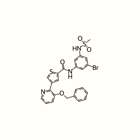 CS(=O)(=O)Nc1cc(Br)cc(NC(=O)c2cc(-c3ncccc3OCc3ccccc3)cs2)c1